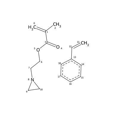 C=C(C)C(=O)OCCN1CC1.C=Cc1ccccc1